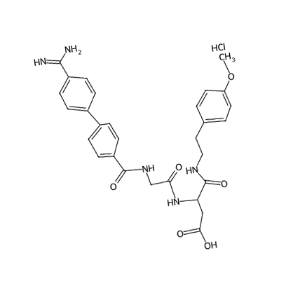 COc1ccc(CCNC(=O)C(CC(=O)O)NC(=O)CNC(=O)c2ccc(-c3ccc(C(=N)N)cc3)cc2)cc1.Cl